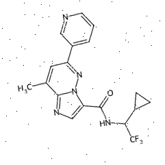 Cc1cc(-c2cccnc2)nn2c(C(=O)NC(C3CC3)C(F)(F)F)cnc12